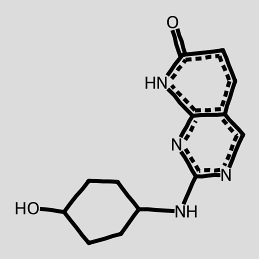 O=c1ccc2cnc(NC3CCC(O)CC3)nc2[nH]1